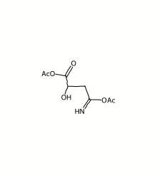 CC(=O)OC(=N)CC(O)C(=O)OC(C)=O